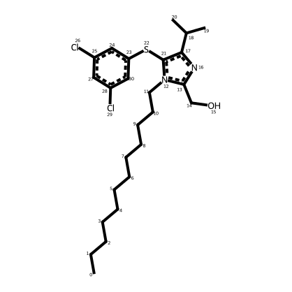 CCCCCCCCCCCCn1c(CO)nc(C(C)C)c1Sc1cc(Cl)cc(Cl)c1